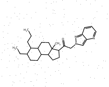 CCCC1C(CC)CCC2C1CCC1(C)C(C(=O)Cn3cc4ncccc4n3)CCC21